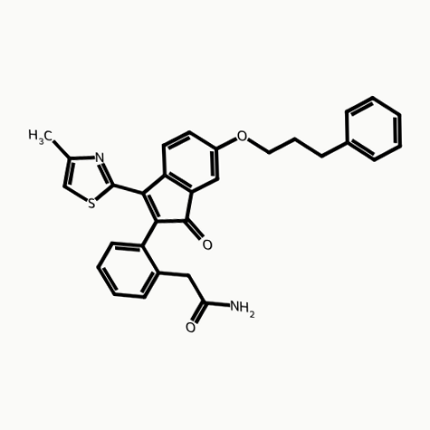 Cc1csc(C2=C(c3ccccc3CC(N)=O)C(=O)c3cc(OCCCc4ccccc4)ccc32)n1